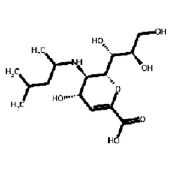 CC(C)CC(C)N[C@H]1[C@H]([C@H](O)[C@H](O)CO)OC(C(=O)O)=C[C@@H]1O